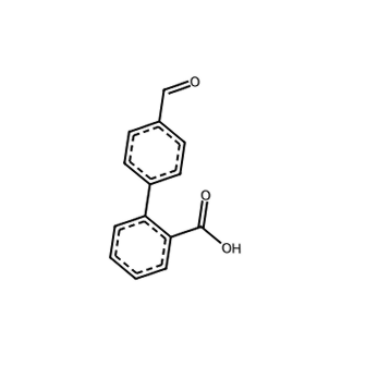 O=Cc1ccc(-c2ccccc2C(=O)O)cc1